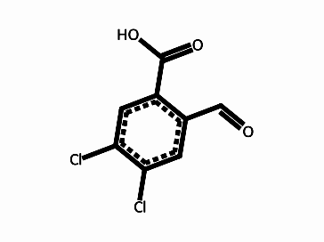 O=Cc1cc(Cl)c(Cl)cc1C(=O)O